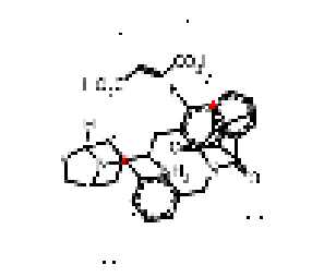 N[C@H](Cc1cc(F)c(F)cc1F)C1CC2CC[C@H](C1)N2Cc1cccc(CN2C(=O)c3ccccc3C2=O)c1.O=C(O)C=CC(=O)O